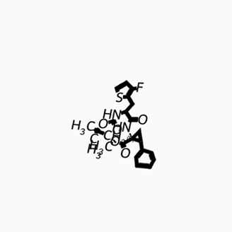 COC(=O)[C@@]1(NC(=O)C(Cc2sccc2F)NC(=O)OC(C)(C)C)CC1c1ccccc1